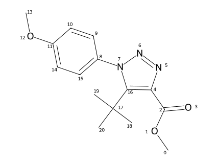 COC(=O)c1nnn(-c2ccc(OC)cc2)c1C(C)(C)C